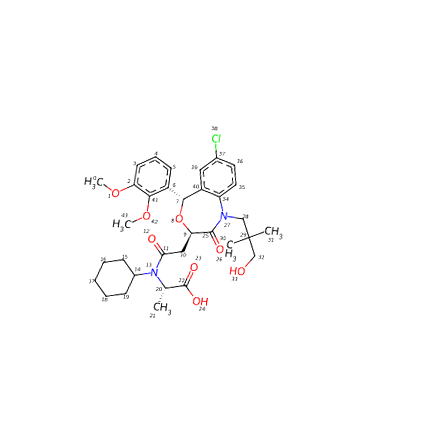 COc1cccc([C@H]2O[C@H](CC(=O)N(C3CCCCC3)[C@@H](C)C(=O)O)C(=O)N(CC(C)(C)CO)c3ccc(Cl)cc32)c1OC